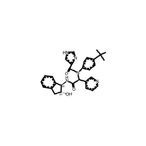 CC(C)(C)c1ccc(N(C(=O)c2c[nH]cn2)C(C(=O)N[C@@H]2c3ccccc3C[C@H]2O)c2cccnc2)cc1